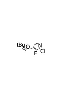 CC(C)(C)[Si](C)(C)OCc1ccnc(Cl)c1F